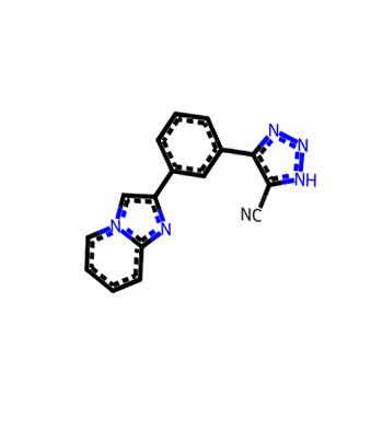 N#Cc1[nH]nnc1-c1cccc(-c2cn3ccccc3n2)c1